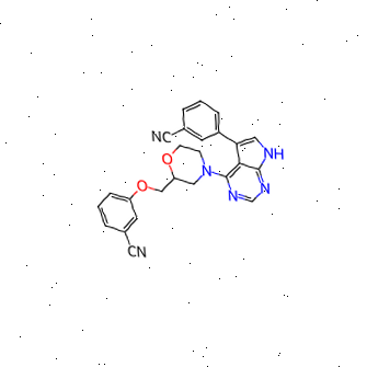 N#Cc1cccc(OCC2CN(c3ncnc4[nH]cc(-c5cccc(C#N)c5)c34)CCO2)c1